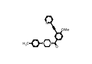 COc1ccc(C(=O)N2CCN(c3ccc(C)cc3)CC2)cc1C#Cc1ccccn1